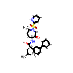 CC(C)C[C@@H](C(=O)N[C@H]1CC[C@@H](C)N(S(=O)(=O)c2ccccn2)CC1=O)c1cccc(-c2ccccc2)c1